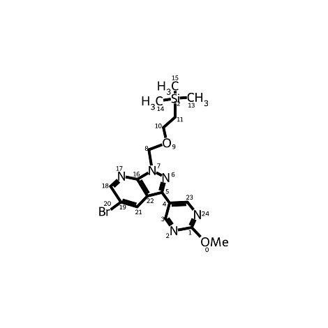 COc1ncc(-c2nn(COCC[Si](C)(C)C)c3ncc(Br)cc23)cn1